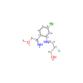 COCC(=N)c1ccc(Br)cc1NC[C@H](C)CO